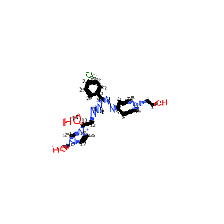 OCCn1ccc(=NN=C(N=NCC(O)[n+]2ccn(O)c2)c2ccccc2)cc1.[Cl-]